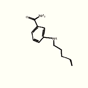 CCCCCNc1cccc(C(N)=O)c1